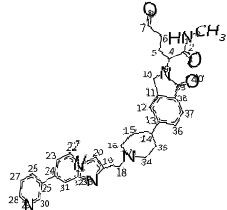 CNC(=O)C(CCC=O)N1Cc2cc(C3CCN(Cc4cn5ccc(-c6cccnc6)cc5n4)CC3)ccc2C1=O